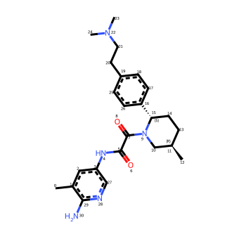 Cc1cc(NC(=O)C(=O)N2C[C@H](C)CC[C@H]2c2ccc(CCN(C)C)cc2)cnc1N